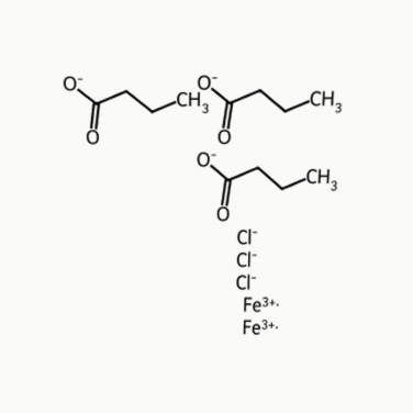 CCCC(=O)[O-].CCCC(=O)[O-].CCCC(=O)[O-].[Cl-].[Cl-].[Cl-].[Fe+3].[Fe+3]